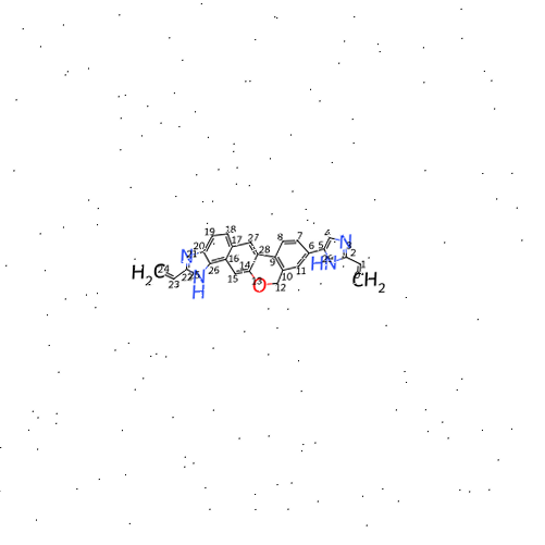 C=Cc1ncc(-c2ccc3c(c2)COc2cc4c(ccc5nc(C=C)[nH]c54)cc2-3)[nH]1